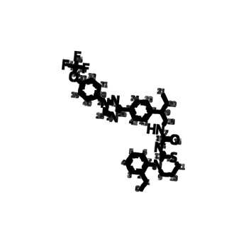 CCc1ccccc1N1CCCS/C1=N\C(=O)NCC(CC)c1ccc(-c2ncn(-c3ccc(OC(F)(F)F)cc3)n2)cc1